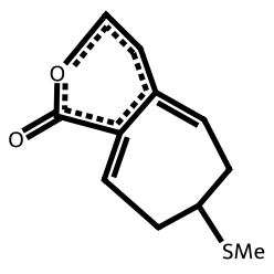 CSC1CC=c2ccoc(=O)c2=CC1